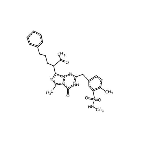 CNS(=O)(=O)c1cc(Cc2nn3c(C(CCCc4ccccc4)C(C)=O)nc(C)c3c(=O)[nH]2)ccc1C